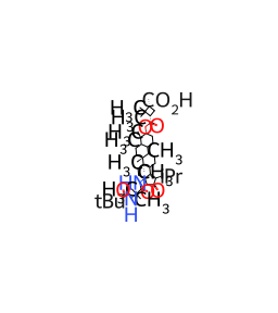 CC(C)C1=C2C3CCC4[C@@]5(C)CC[C@H](OC(=O)[C@H]6C[C@@H](C(=O)O)C6(C)C)C(C)(C)C5CC[C@@]4(C)[C@]3(C)CC[C@@]2(NC(=O)C(C)(C)NC(=O)C(C)(C)C)CC1=O